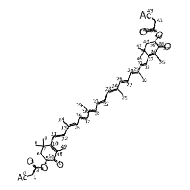 CC(=O)CC(=O)O[C@H]1CC(C)(C)C(/C=C/C(C)=C/C=C/C(C)=C/C=C/C=C(C)/C=C/C=C(C)/C=C/C2=C(C)C(=O)[C@@H](OC(=O)CC(C)=O)CC2(C)C)=C(C)C1=O